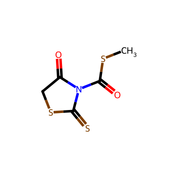 CSC(=O)N1C(=O)CSC1=S